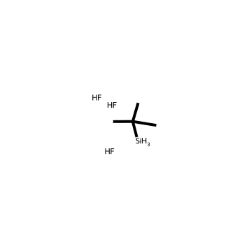 CC(C)(C)[SiH3].F.F.F